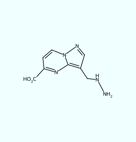 NNCc1cnn2ccc(C(=O)O)nc12